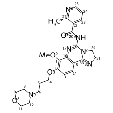 COc1c(OCCCN2CCOCC2)ccc2c1N=C(NC(=O)c1cccnc1C)N1CCN=C21